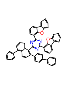 c1ccc(-c2ccc(-c3ccc4c(-c5ccccc5)cccc4c3-c3nc(-c4cccc5c4oc4ccccc45)nc(-c4cccc5c4oc4ccccc45)n3)cc2)cc1